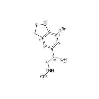 O[C@H](CNCl)c1cc(Br)c2c(c1)CCO2